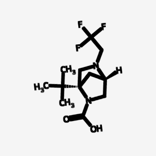 CC(C)(C)[C@]12C[C@@H](CN1C(=O)O)N(CC(F)(F)F)C2